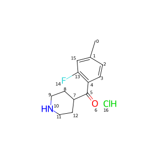 Cc1ccc(C(=O)C2CCNCC2)c(F)c1.Cl